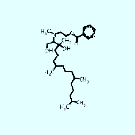 CC(C)CCCC(C)CCCC(C)CCCC(C)(O)C(CO)N(C)CCOC(=O)c1cccnc1